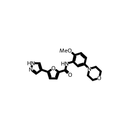 COc1ccc(N2CCOCC2)cc1NC(=O)c1ccc(-c2cn[nH]c2)o1